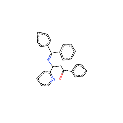 O=C(CC(N=C(c1ccccc1)c1ccccc1)c1ccccn1)c1ccccc1